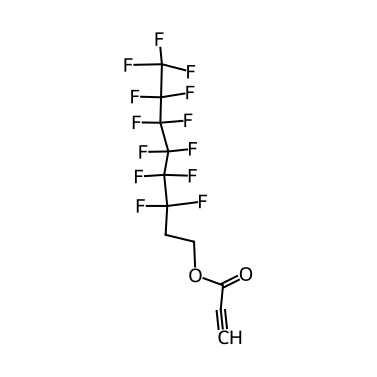 C#CC(=O)OCCC(F)(F)C(F)(F)C(F)(F)C(F)(F)C(F)(F)C(F)(F)F